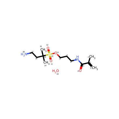 C=C(C)C(=O)NCCCOS(=O)(=O)C(C)(C)CCN.O